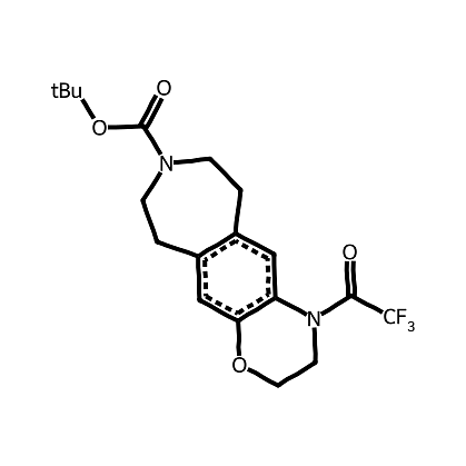 CC(C)(C)OC(=O)N1CCc2cc3c(cc2CC1)N(C(=O)C(F)(F)F)CCO3